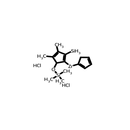 CC1=C(C)C(O[Si](C)(C)C)[C]([Zr][C]2=CC=CC2)=C1[SiH3].Cl.Cl